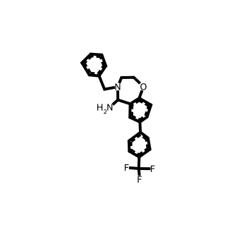 NC1c2cc(-c3ccc(C(F)(F)F)cc3)ccc2OCCN1Cc1ccccc1